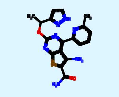 Cc1cccc(-c2nc(OC(C)c3cc[nH]n3)nc3sc(C(N)=O)c(N)c23)n1